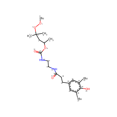 CC(CC(C)(C)OOC(C)(C)C)OC(=O)NCCNC(=O)CCc1cc(C(C)(C)C)c(O)c(C(C)(C)C)c1